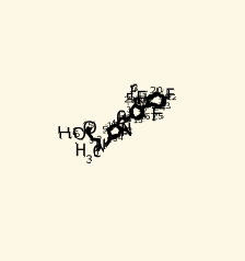 CN(CCC(=O)O)Cc1ccc2oc(-c3ccc(-c4ccc(F)cc4F)c(C(F)(F)F)c3)nc2c1